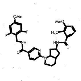 COc1cc(F)c(CNC(=O)c2ccc(N3CCCC4CC(NC(=O)c5cccc(OC)c5C)CC43)nc2)c(F)c1